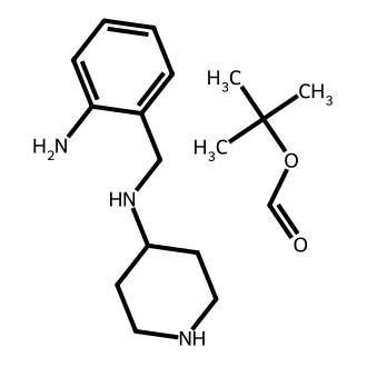 CC(C)(C)OC=O.Nc1ccccc1CNC1CCNCC1